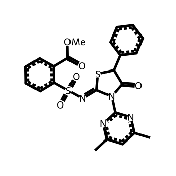 COC(=O)c1ccccc1S(=O)(=O)N=C1SC(c2ccccc2)C(=O)N1c1nc(C)cc(C)n1